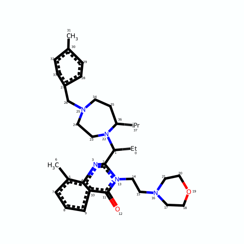 CCC(c1nc2c(C)cccc2c(=O)n1CCN1CCOCC1)N1CCN(Cc2ccc(C)cc2)CCC1C(C)C